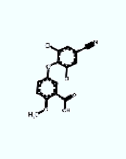 COc1ccc(Oc2c(Cl)cc(C#N)cc2Cl)cc1C(=O)O